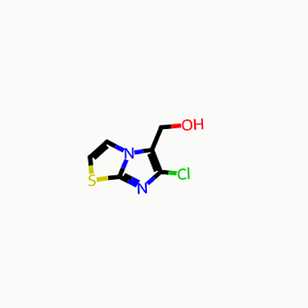 OCc1c(Cl)nc2sccn12